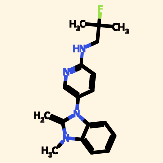 C=C1N(C)c2ccccc2N1c1ccc(NCC(C)(C)F)nc1